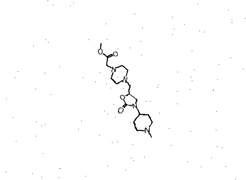 COC(=O)CN1CCN(CC2CN(C3CCN(C)CC3)C(=O)O2)CC1